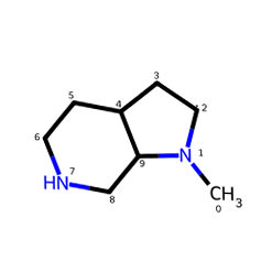 CN1[CH]CC2CCNCC21